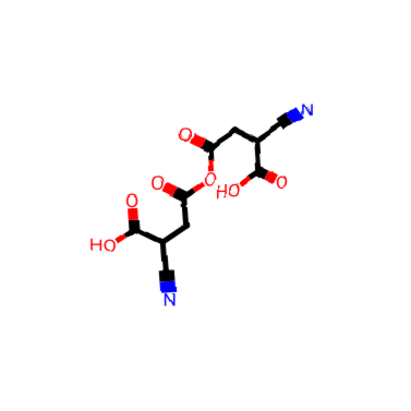 N#CC(CC(=O)OC(=O)CC(C#N)C(=O)O)C(=O)O